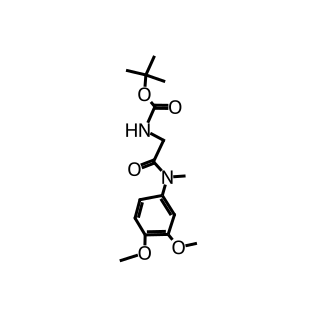 COc1ccc(N(C)C(=O)CNC(=O)OC(C)(C)C)cc1OC